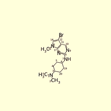 CN(C)C1CCC(Nc2ncc3c(Br)cn(C)c3n2)CC1